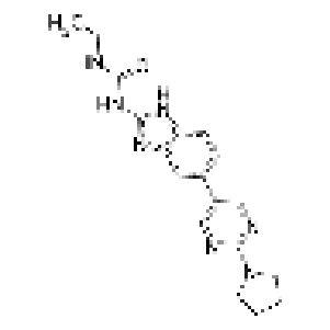 CCNC(=O)Nc1nc2cc(-c3cnc(N4CCCC4)nc3)ccc2[nH]1